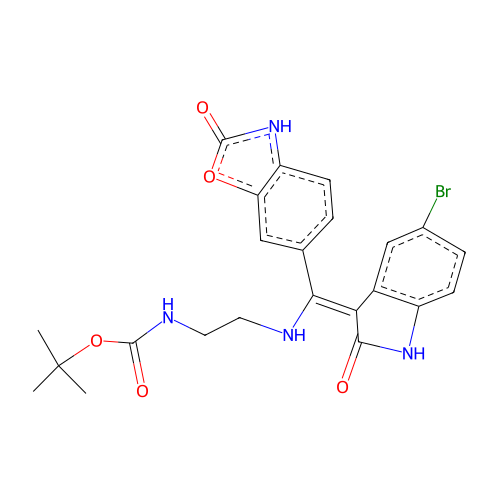 CC(C)(C)OC(=O)NCCN/C(=C1\C(=O)Nc2ccc(Br)cc21)c1ccc2[nH]c(=O)oc2c1